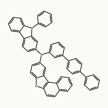 c1ccc(-c2ccc(-c3cccc(N(c4ccc5oc6ccc7ccccc7c6c5c4)c4ccc5c6ccccc6n(-c6ccccc6)c5c4)c3)cc2)cc1